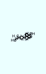 CN(CCO)C1CCC(N2CCc3cnc(O)c4cccc2c34)CC1